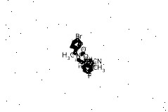 C[C@@H](c1ccc(Br)cc1)N1CCC(CC(C)(C)C#N)(c2ccc(F)cc2)OC1=O